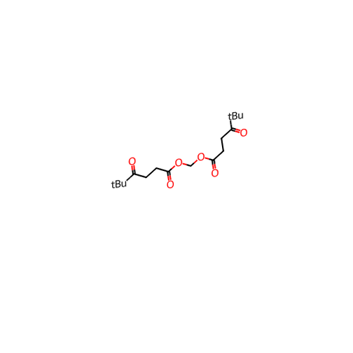 CC(C)(C)C(=O)CCC(=O)OCOC(=O)CCC(=O)C(C)(C)C